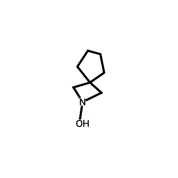 ON1CC2(CCCC2)C1